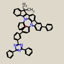 CC1(C)c2ccccc2-c2c1c1ccc3c4cc(-c5ccccc5)ccc4n(-c4ccc(-c5cccc(-c6nc(-c7ccccc7)nc(-c7ccccc7)n6)c5)cc4)c3c1n2-c1ccccc1